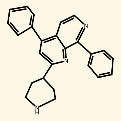 c1ccc(-c2cc(C3CCNCC3)nc3c(-c4ccccc4)nccc23)cc1